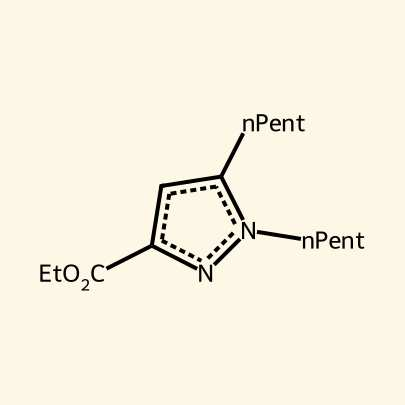 CCCCCc1cc(C(=O)OCC)nn1CCCCC